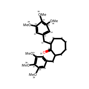 COc1cc(CC2CCCCCC(Cc3cc(OC)c(OC)c(OC)c3)C2=O)cc(OC)c1OC